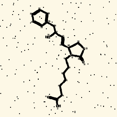 O=C(O)CCCCCCN1C(=O)SC[C@@H]1C=CC(O)Cc1ccccc1